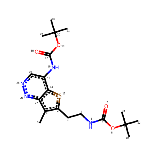 Cc1c(CCNC(=O)OC(C)(C)C)sc2c(NC(=O)OC(C)(C)C)cnnc12